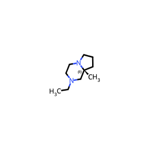 CCN1CCN2CCC[C@]2(C)C1